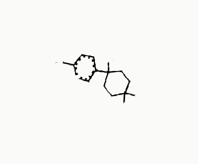 CC(=O)c1ccc(C2(C#N)CCC(F)(F)CC2)cn1